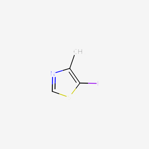 Cc1ncsc1I